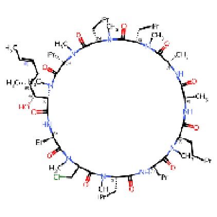 C/C=C/C[C@@H](C)[C@@H](O)[C@H]1C(=O)N[C@H](CC)C(=O)N(C)C(CCl)C(=O)N(C)[C@@H](CC(C)C)C(=O)N[C@H](C(C)C)C(=O)N(C)[C@H](CCC(C)C)C(=O)N[C@H](C)C(=O)N[C@@H](C)C(=O)N(C)[C@@H](CC(C)C)C(=O)N(C)[C@@H](CC(C)C)C(=O)N(C)[C@@H](C(C)C)C(=O)N1C